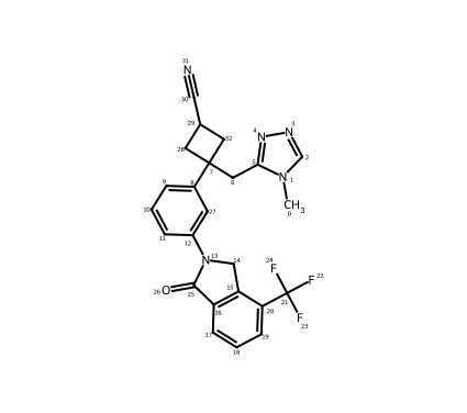 Cn1cnnc1CC1(c2cccc(N3Cc4c(cccc4C(F)(F)F)C3=O)c2)CC(C#N)C1